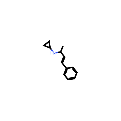 CC(C=Cc1ccccc1)NC1CC1